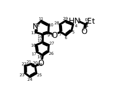 CCC(=O)Nc1ccc(Oc2ccncc2-c2ccc(Oc3ccccc3)cc2)cc1